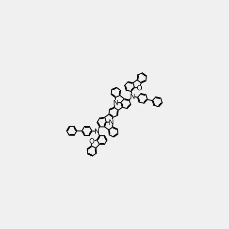 c1ccc(-c2ccc(N(c3cccc4c3oc3ccccc34)c3ccc4c5cc6c(cc5n5c7ccccc7c3c45)c3ccc(N(c4ccc(-c5ccccc5)cc4)c4cccc5c4oc4ccccc45)c4c5ccccc5n6c34)cc2)cc1